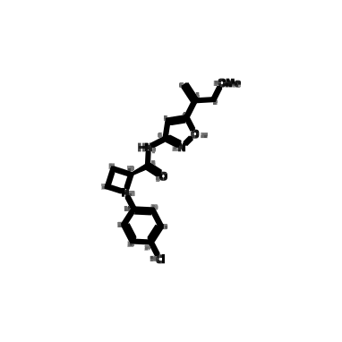 C=C(COC)c1cc(NC(=O)[C@@H]2CCN2c2ccc(Cl)cc2)no1